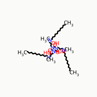 CCCCCCCCCCCCN(C)CC(O)Cn1c(=O)n(CC(O)CN(C)CCCCCCCCCCCC)c(=O)n(CC(O)CN(C)CCCCCCCCCCCC)c1=O